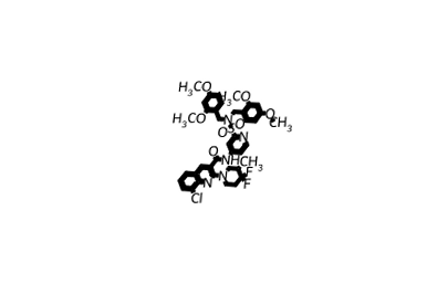 COc1ccc(CN(Cc2ccc(OC)cc2OC)S(=O)(=O)c2cc(NC(=O)c3cc4cccc(Cl)c4nc3N3CCC(F)(F)C(C)C3)ccn2)c(OC)c1